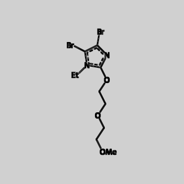 CCn1c(OCCOCCOC)nc(Br)c1Br